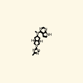 Cc1noc(N2C[C@H]3CC(N(C)c4ncnc5[nH]ccc45)C[C@H]3C2)n1